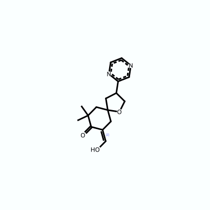 CC1(C)CC2(C/C(=C/O)C1=O)CC(c1cnccn1)CO2